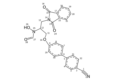 N#Cc1ccc(-c2ccc(OCC(CN3C(=O)c4ccccc4C3=O)N(O)C=O)cc2)cc1